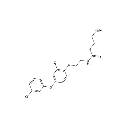 CSCCOC(=O)NCCOc1ccc(Oc2cccc(Cl)c2)cc1Cl